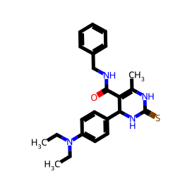 CCN(CC)c1ccc(C2NC(=S)NC(C)=C2C(=O)NCc2ccccc2)cc1